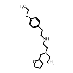 CCOc1ccc(CCNCCN(CC)CC2CCCO2)cc1